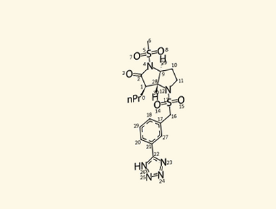 CCC[C@H]1C(=O)N(S(C)(=O)=O)[C@H]2CCN(S(=O)(=O)Cc3cccc(-c4nnn[nH]4)c3)[C@H]12